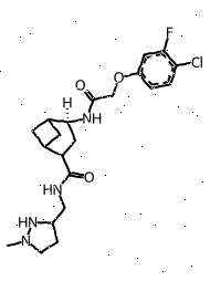 CN1CCC(CNC(=O)C2C[C@H](NC(=O)COc3ccc(Cl)c(F)c3)C3CC2C3)N1